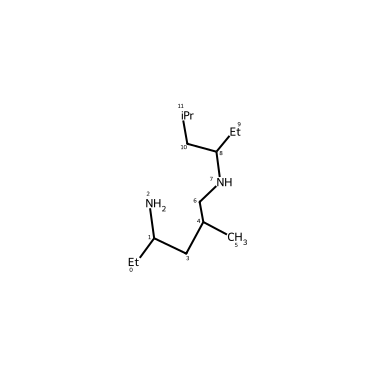 CCC(N)CC(C)CNC(CC)CC(C)C